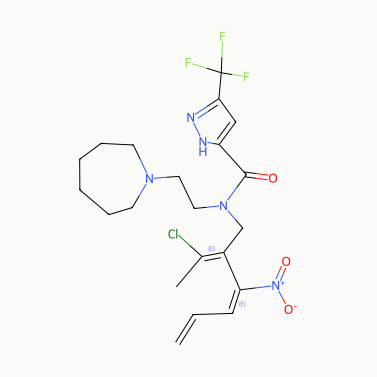 C=C/C=C(\C(CN(CCN1CCCCCC1)C(=O)c1cc(C(F)(F)F)n[nH]1)=C(/C)Cl)[N+](=O)[O-]